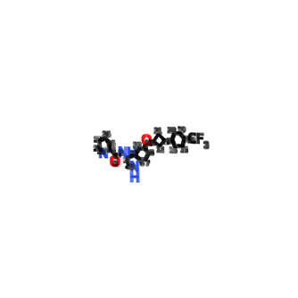 O=C(Nc1c[nH]c2ccc(O[C@H]3C[C@@H](c4ccc(C(F)(F)F)cc4)C3)cc12)c1ccccn1